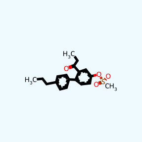 CCCc1ccc(-c2ccc(OS(C)(=O)=O)cc2C(=O)CC)cc1